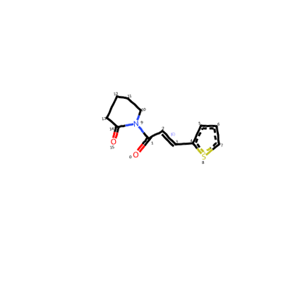 O=C(/C=C/c1cccs1)N1CCCCC1=O